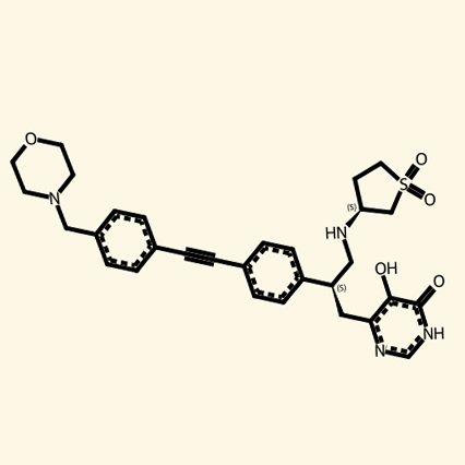 O=c1[nH]cnc(C[C@H](CN[C@H]2CCS(=O)(=O)C2)c2ccc(C#Cc3ccc(CN4CCOCC4)cc3)cc2)c1O